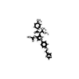 CC(C)N(c1nn(-c2ccc(OCc3cscn3)cc2)cc1OC(=O)O)C(=O)[C@H]1CC[C@H](C)CC1